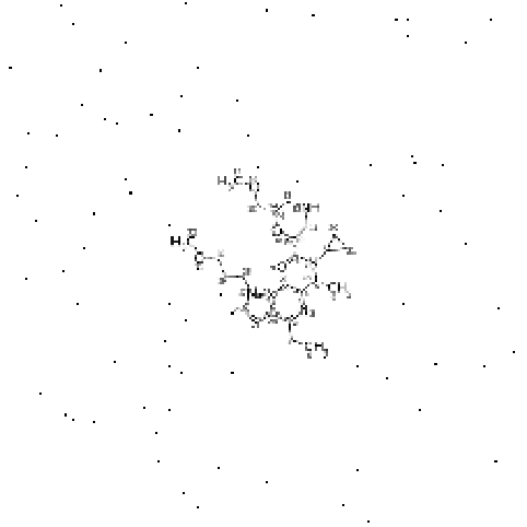 CCc1nc([C@@H](C)N(C(=O)[C@H]2CNC[C@@H](COC)O2)C2CC2)cc2c1ccn2CCCOC